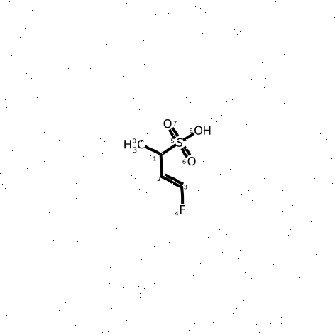 CC(C=CF)S(=O)(=O)O